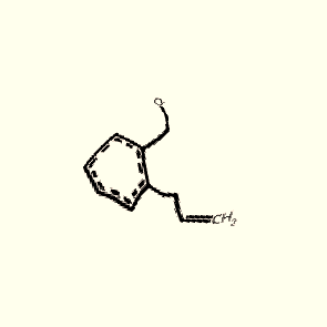 C=CCc1ccccc1C[O]